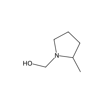 CC1CCCN1CO